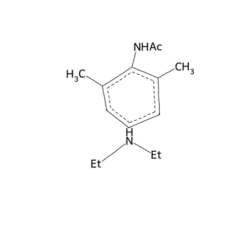 CC(=O)Nc1c(C)cccc1C.CCNCC